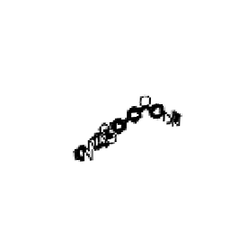 CC1CN(c2ccccn2)CCN1S(=O)(=O)c1ccc(-c2ccc(C(=O)c3ccc(-n4ccnc4)cc3)cc2)cc1